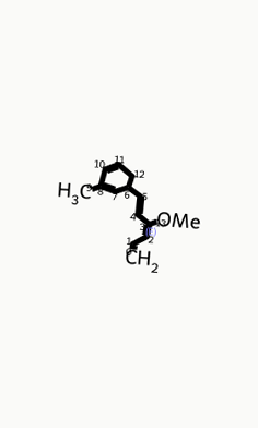 C=C/C=C(\C=CC1C=C(C)C=CC1)OC